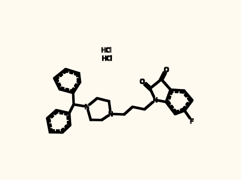 Cl.Cl.O=C1C(=O)N(CCCN2CCN(C(c3ccccc3)c3ccccc3)CC2)c2cc(F)ccc21